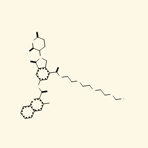 NCOCCOCCOCCNC(=O)c1cc(NC(=O)c2nc3ccccc3cc2N)cc2c1CN(C1CCC(=O)NC1=O)C2=O